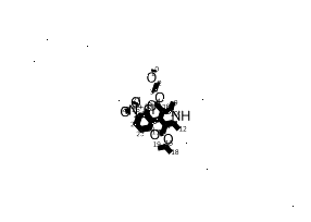 COCCOC(=O)C1=C(C)NC(C)=C(C(=O)OC(C)C)C1c1cccc([N+](=O)[O-])c1Cl